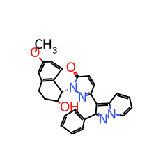 COc1ccc2c(c1)CC[C@H](O)[C@H]2n1nc(-c2c(-c3ccccc3)nn3ccccc23)ccc1=O